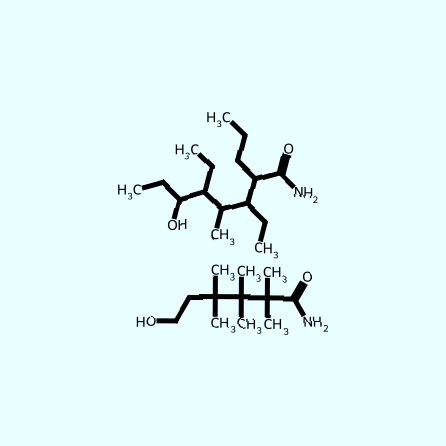 CC(C)(CCO)C(C)(C)C(C)(C)C(N)=O.CCCC(C(N)=O)C(CC)C(C)C(CC)C(O)CC